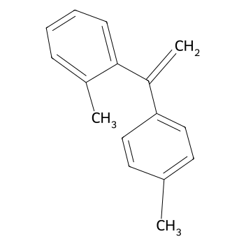 C=C(c1ccc(C)cc1)c1ccccc1C